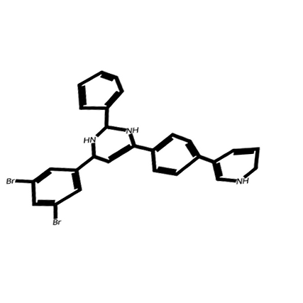 Brc1cc(Br)cc(C2C=C(c3ccc(C4=CNCC=C4)cc3)NC(c3ccccc3)N2)c1